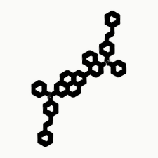 C(=Cc1ccc(N(c2ccccc2)c2cc3ccc4cc(-c5ccc(N(c6ccccc6)c6ccc(C=Cc7ccccc7)cc6)c6ccccc56)cc5ccc(c2)c3c45)cc1)c1ccccc1